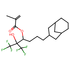 C=C(C)C(=O)OC(CCCC1CC2CCCC(C2)C1)C(O)(C(F)(F)F)C(F)(F)F